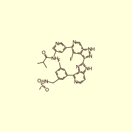 CC(C)C(=O)Nc1cncc(-c2ncc3[nH]nc(-c4nc5c(-c6cc(F)cc(CNS(C)(=O)=O)c6)nccc5[nH]4)c3c2F)c1